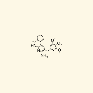 COc1cc(Cc2cnc(NC(C)c3ccccc3)nc2N)cc(OC)c1OC